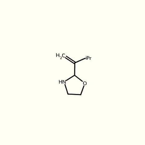 [CH2]C(C)C(=C)C1NCCO1